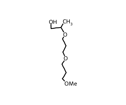 COCCCOCCCOC(C)CO